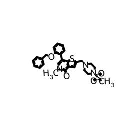 Cn1cc(-c2ccccc2OCc2ccccc2)c2sc(CN3CCN(S(C)(=O)=O)CC3)cc2c1=O